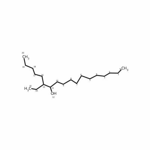 CCCCCCCCCCCC(O)C(CC)CCCCC